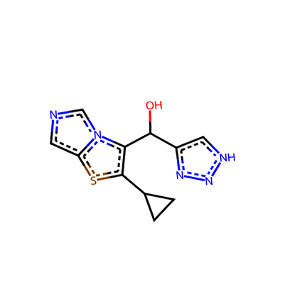 OC(c1c[nH]nn1)c1c(C2CC2)sc2cncn12